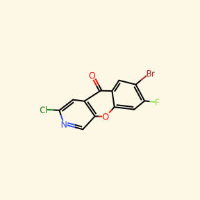 O=c1c2cc(Cl)ncc2oc2cc(F)c(Br)cc12